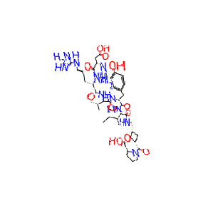 CCC(C)[C@H](NC(=O)C(Cc1ccc(O)cc1)NC(=O)[C@@H](NC(=O)[C@H](CCCNC(=N)N)NC(=O)[C@@H](N)CC(=O)O)C(C)C)C(=O)NC[C@H]1C[C@@H](C(=O)N2CCC[C@H]2C(=O)O)C1